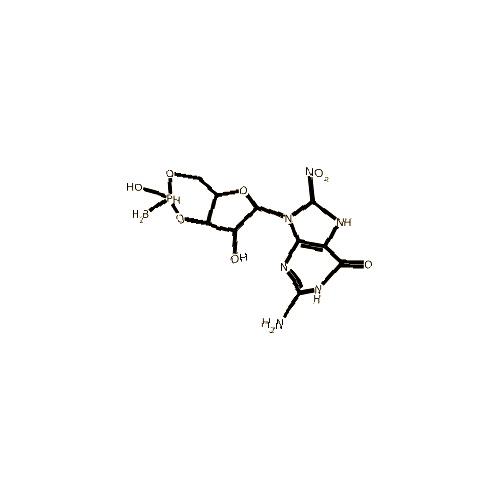 B[PH]1(O)OCC2OC(N3c4nc(N)[nH]c(=O)c4NC3[N+](=O)[O-])C(O)C2O1